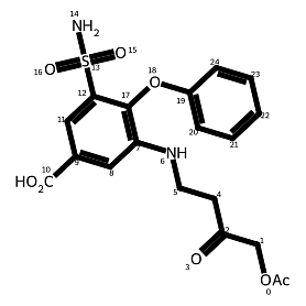 CC(=O)OCC(=O)CCNc1cc(C(=O)O)cc(S(N)(=O)=O)c1Oc1ccccc1